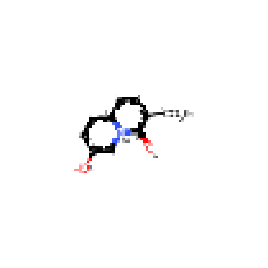 CCOC(=O)c1ccc2ccc(O)cn2c1=O